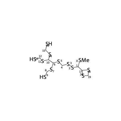 CSC(SSCSC(SCS)C(SCS)SCS)C1SCS1